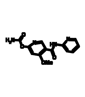 COc1cc(OC(N)=O)ncc1C(=O)Nc1ccccn1